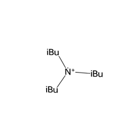 CCC(C)[N+](C(C)CC)C(C)CC